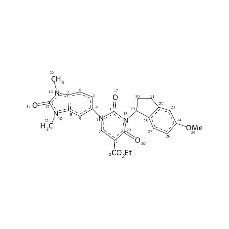 CCOC(=O)c1cn(-c2ccc3c(c2)n(C)c(=O)n3C)c(=O)n(C2CCc3cc(OC)ccc32)c1=O